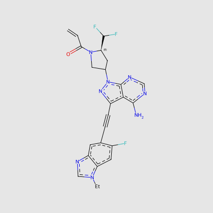 C=CC(=O)N1CC(n2nc(C#Cc3cc4ncn(CC)c4cc3F)c3c(N)ncnc32)C[C@@H]1C(F)F